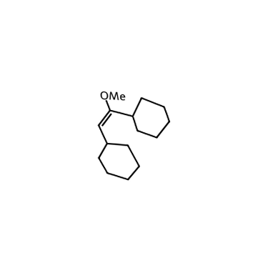 COC(=CC1CCCCC1)C1CCCCC1